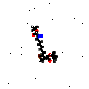 CC(C)(C)OC(=O)NCCCCCCc1sccc1B1OC(C)(C)C(C)(C)O1